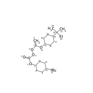 C=C(OOC(=O)OC1CCC(C(C)(C)C)CC1)OC1CCC(C(C)(C)CC)CC1